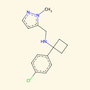 Cn1nccc1CNC1(c2ccc(Cl)cc2)CCC1